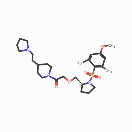 COc1cc(C)c(S(=O)(=O)N2CCC[C@H]2COCC(=O)N2CCC(CCN3CCCC3)CC2)c(C)c1